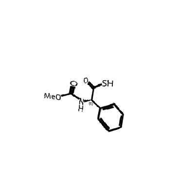 COC(=O)N[C@@H](C(=O)S)c1ccccc1